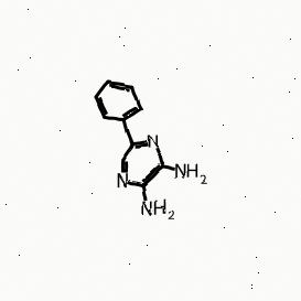 Nc1ncc(-c2ccccc2)nc1N